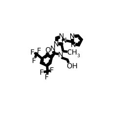 CC(c1ncnn1-c1ncccn1)N(CCO)c1noc2c(C(F)(F)F)cc(C(F)(F)F)cc12